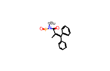 CCCCN(P=O)C(=O)C(C)=C(c1ccccc1)c1ccccc1